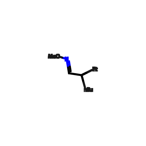 CCCCC(C=NOC)CC